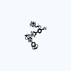 CC(C)Oc1nn(C2CCC3(CC2)OCCO3)cc1Nc1ncc(-c2ccc(C#N)c(O[C@@H](C)Cn3cnnn3)c2)cn1